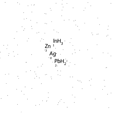 [Ag].[InH3].[PbH2].[Zn]